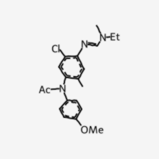 CCN(C)C=Nc1cc(C)c(N(C(C)=O)c2ccc(OC)cc2)cc1Cl